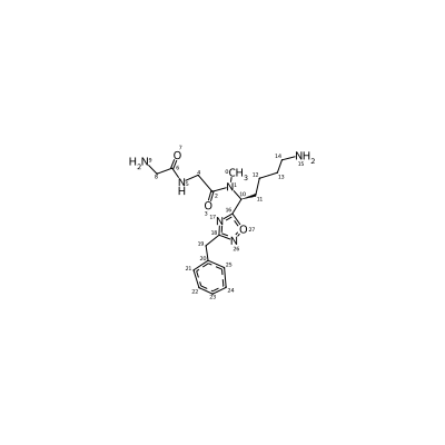 CN(C(=O)CNC(=O)CN)[C@@H](CCCCN)c1nc(Cc2ccccc2)no1